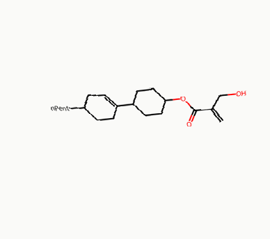 C=C(CO)C(=O)OC1CCC(C2=CCC(CCCCC)CC2)CC1